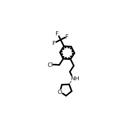 FC(F)(F)c1ccc(CCN[C@@H]2CCOC2)c(CCl)c1